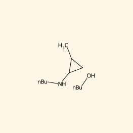 CCCCNC1CC1C.CCCCO